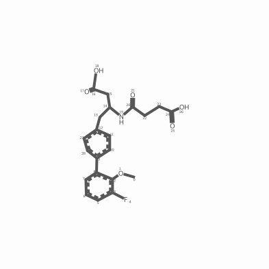 COc1c(F)cccc1-c1ccc(CC(CC(=O)O)NC(=O)CCC(=O)O)cc1